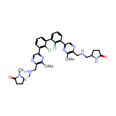 COc1nc(-c2cccc(-c3cccc(-c4cnc(CNC[C@@H]5CCC(=O)N5C)c(OC)n4)c3Cl)c2Cl)cnc1CNCC1CCC(=O)N1